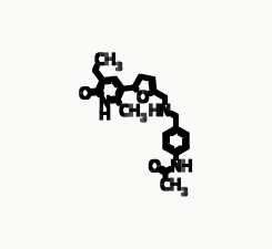 CCc1cc(C2CC=C(CNCc3ccc(NC(C)=O)cc3)O2)c(C)[nH]c1=O